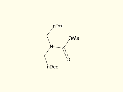 CCCCCCCCCCCN(CCCCCCCCCCC)C(=O)OC